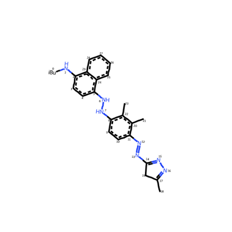 CCC(C)Nc1ccc(NNc2ccc(/N=N/C3=NN=C(C)C3)c(C)c2C)c2ccccc12